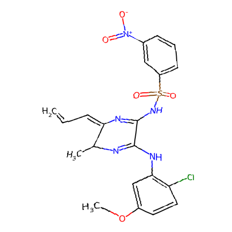 C=C/C=C1/N=C(NS(=O)(=O)c2cccc([N+](=O)[O-])c2)C(Nc2cc(OC)ccc2Cl)=NC1C